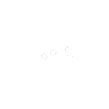 O=C(O)c1nn[nH]c1SCc1ccc(-c2ccc(C(F)(F)F)cc2)cc1